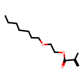 C=C(C)C(=O)OCCOCCCCCCC